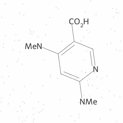 CNc1cc(NC)c(C(=O)O)cn1